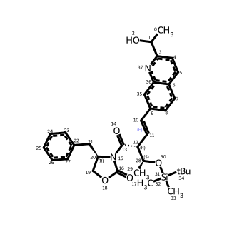 CC(O)c1ccc2ccc(/C=C/[C@@H](C(=O)N3C(=O)OC[C@H]3Cc3ccccc3)[C@H](C)O[Si](C)(C)C(C)(C)C)cc2n1